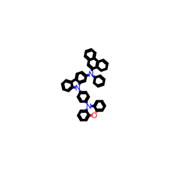 C1=CCC(N(c2ccc3c4ccccc4n(-c4ccc(N5c6ccccc6Oc6ccccc65)cc4)c3c2)c2cc3ccccc3c3c2CCC=C3)C=C1